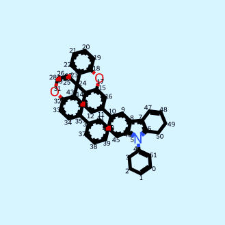 C1=CCCC(n2c3c(c4cc(-c5ccc6c(c5)Oc5ccccc5C65c6ccccc6Oc6ccc(-c7ccccc7)cc65)ccc42)C=CCC3)=C1